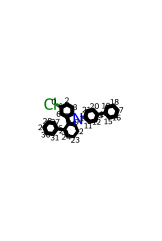 Clc1ccc2c(c1)c1c(n2-c2ccc(-c3ccccc3)cc2)CCC=C1c1ccccc1